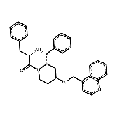 N[C@@H](Cc1ccccc1)C(=O)N1CC[C@H](NCc2ccnc3ccccc23)C[C@H]1Cc1ccccc1